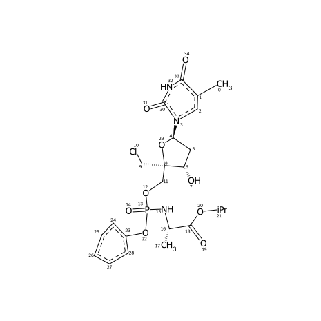 Cc1cn([C@H]2C[C@H](O)[C@@](CCl)(COP(=O)(N[C@@H](C)C(=O)OC(C)C)Oc3ccccc3)O2)c(=O)[nH]c1=O